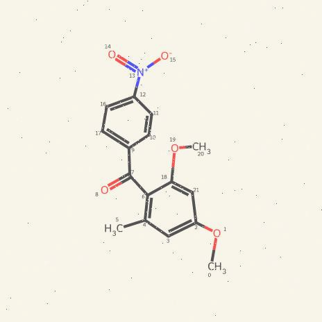 COc1cc(C)c(C(=O)c2ccc([N+](=O)[O-])cc2)c(OC)c1